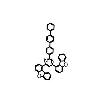 c1ccc(-c2ccc(-c3ccc(-c4nc(-c5cccc6oc7ccccc7c56)cc(-c5cccc6oc7ccccc7c56)n4)cc3)cc2)cc1